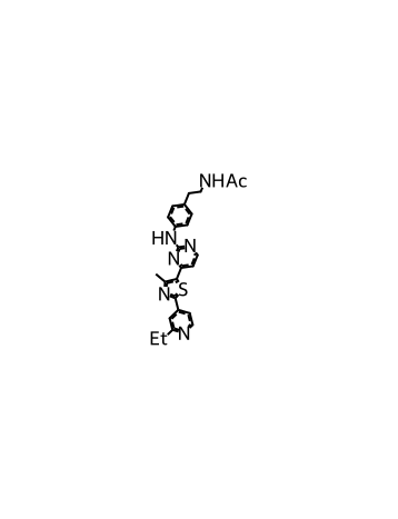 CCc1cc(-c2nc(C)c(-c3ccnc(Nc4ccc(CCNC(C)=O)cc4)n3)s2)ccn1